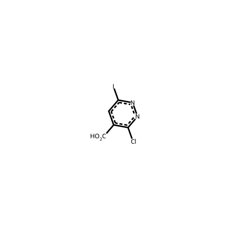 O=C(O)c1cc(I)nnc1Cl